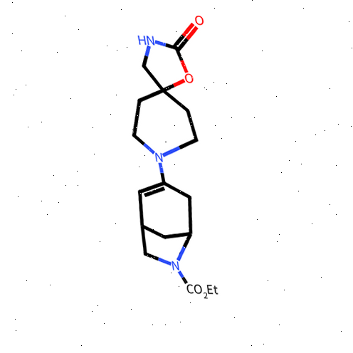 CCOC(=O)N1CC2C=C(N3CCC4(CC3)CNC(=O)O4)CC1C2